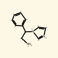 NCC(c1ccccc1)n1ccnc1